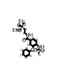 CCOP(=O)(CCNC(=O)c1ccc(NS(C)(=O)=O)c(Oc2ccccc2)c1)OCC